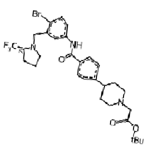 CC(C)(C)OC(=O)CN1CCC(c2ccc(C(=O)Nc3ccc(Br)c(CN4CCC[C@H]4C(F)(F)F)c3)cc2)CC1